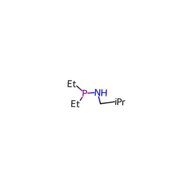 CCP(CC)NCC(C)C